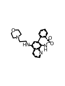 O=S1(=O)Nc2c(cc(NCCN3CCOCC3)c3cccnc23)-c2ccccc21